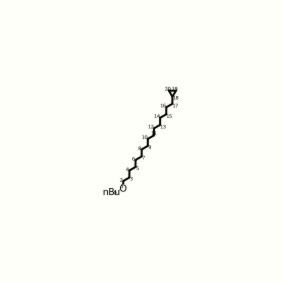 CCCCOCCCCCCCCCCCCCCCCC1CC1